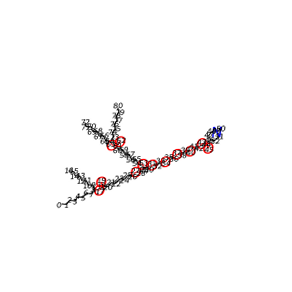 CCCCCCCCC(CCCCCCCC)OC(=O)CCCCCCCOC[C@@H](COCCOCCOCCOCCOC(=O)C1CCN(C)CC1)OCCCCCCCC(=O)OC(CCCCCCCC)CCCCCCCC